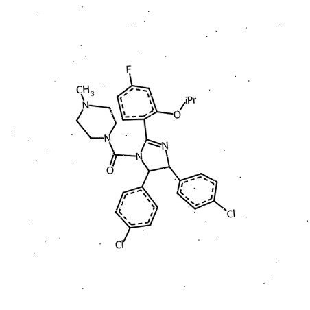 CC(C)Oc1cc(F)ccc1C1=NC(c2ccc(Cl)cc2)C(c2ccc(Cl)cc2)N1C(=O)N1CCN(C)CC1